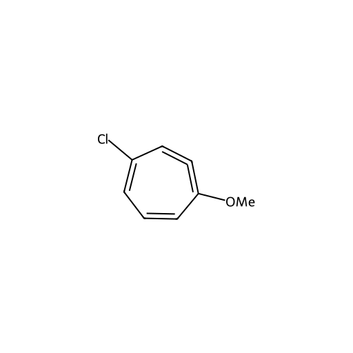 COC1=C=CC(Cl)=CC=C1